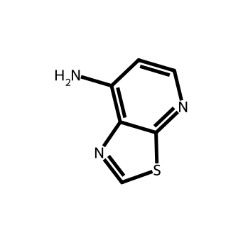 Nc1ccnc2scnc12